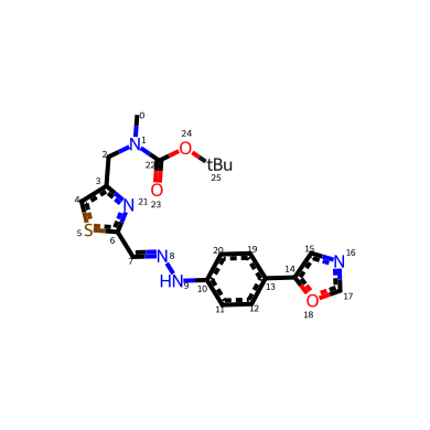 CN(Cc1csc(/C=N/Nc2ccc(-c3cnco3)cc2)n1)C(=O)OC(C)(C)C